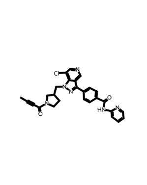 CC#CC(=O)N1CCC(Cn2nc(-c3ccc(C(=O)Nc4ccccn4)cc3)c3cncc(Cl)c32)C1